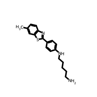 Cc1ccc2nc(-c3ccc(NCCCCCN)cc3)sc2c1